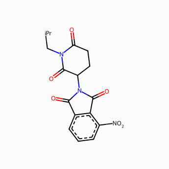 CC(C)CN1C(=O)CCC(N2C(=O)c3cccc([N+](=O)[O-])c3C2=O)C1=O